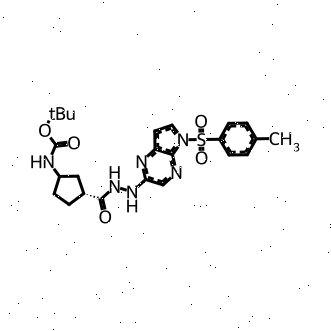 Cc1ccc(S(=O)(=O)n2ccc3nc(NNC(=O)[C@@H]4CCC(NC(=O)OC(C)(C)C)C4)cnc32)cc1